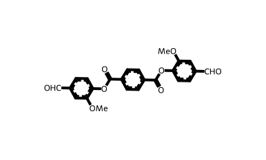 COc1cc(C=O)ccc1OC(=O)c1ccc(C(=O)Oc2ccc(C=O)cc2OC)cc1